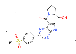 CC(C)S(=O)(=O)c1ccc(-c2cnc3[nH]cc(C(=O)N4CCCC4CO)c3n2)cc1